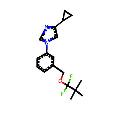 CC(C)(C)C(F)(F)OCc1cccc(-n2cnc(C3CC3)c2)c1